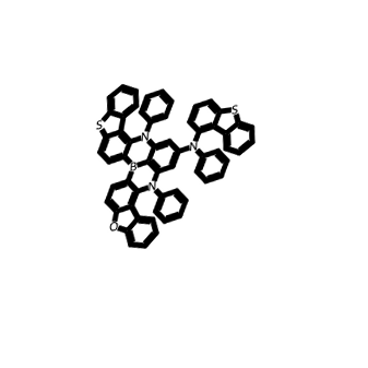 c1ccc(N2c3cc(N(c4ccccc4)c4cccc5sc6ccccc6c45)cc4c3B(c3ccc5oc6ccccc6c5c32)c2ccc3sc5ccccc5c3c2N4c2ccccc2)cc1